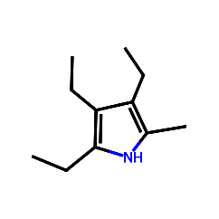 CCc1[nH]c(C)c(CC)c1CC